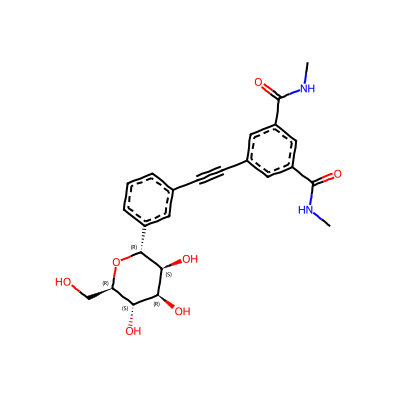 CNC(=O)c1cc(C#Cc2cccc([C@H]3O[C@H](CO)[C@@H](O)[C@H](O)[C@@H]3O)c2)cc(C(=O)NC)c1